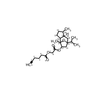 C#CCCCC(=O)OCC(=O)OC1CC2(C(C)C)C[C@@H]3C(C)CCC3C1(C)O2